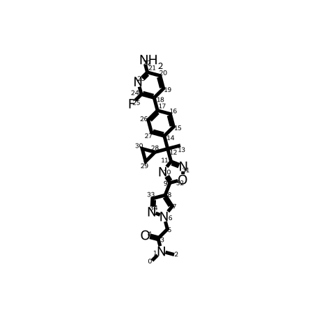 CN(C)C(=O)Cn1cc(-c2nc(C(C)(c3ccc(-c4ccc(N)nc4F)cc3)C3CC3)no2)cn1